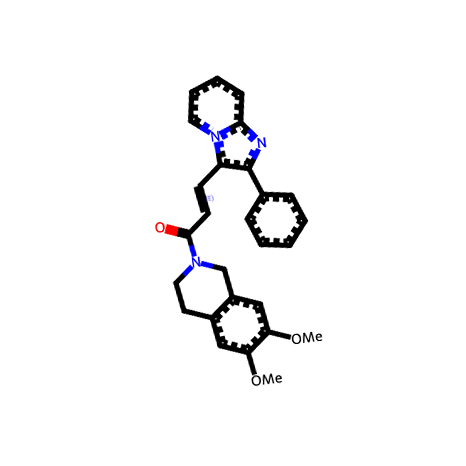 COc1cc2c(cc1OC)CN(C(=O)/C=C/c1c(-c3ccccc3)nc3ccccn13)CC2